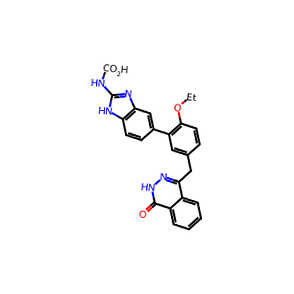 CCOc1ccc(Cc2n[nH]c(=O)c3ccccc23)cc1-c1ccc2[nH]c(NC(=O)O)nc2c1